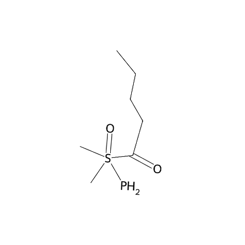 CCCCC(=O)S(C)(C)(=O)P